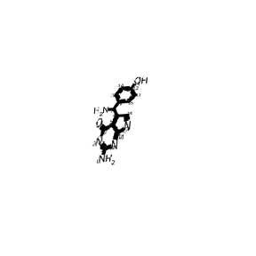 NC1=NC(=O)C2=C(C(N)c3ccc(O)cc3)C=NC2=N1